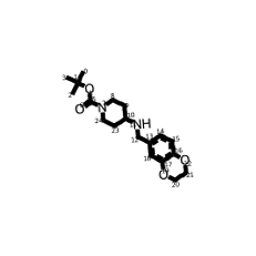 CC(C)(C)OC(=O)N1CCC(NCc2ccc3c(c2)OCCO3)CC1